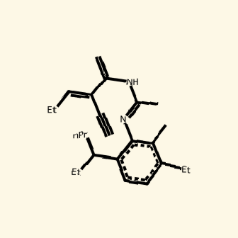 C#C/C(=C\CC)C(=C)N/C(C)=N/c1c(C(CC)CCC)ccc(CC)c1C